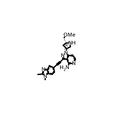 COC[C@H]1C[C@H](n2nc(C#Cc3ccc4c(c3)nc(C)n4C)c3c(N)nccc32)CN1